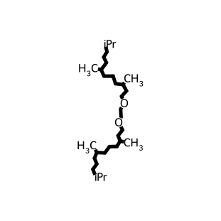 CC(C)CCCC(C)CCCC(C)CCOCCOCCC(C)CCCC(C)CCCC(C)C